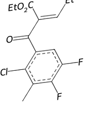 CCC=C(C(=O)OCC)C(=O)c1cc(F)c(F)c(C)c1Cl